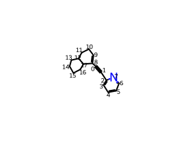 C(#Cc1ccccn1)C1=CCCC2CCCCC12